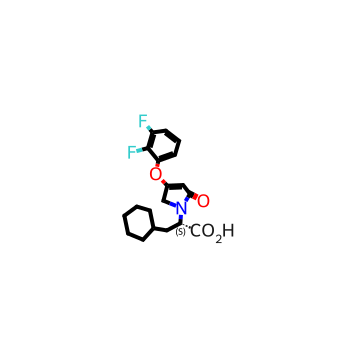 O=C(O)[C@H](CC1CCCCC1)N1CC(Oc2cccc(F)c2F)=CC1=O